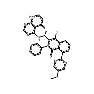 COc1cnc(-c2cccc3c(Cl)c([C@H](C)Nc4ncnc5[nH]ccc(=O)c45)n(-c4ccccc4)c(=O)c23)nc1